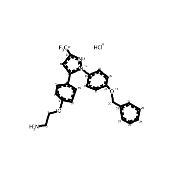 Cl.NCCOc1ccc(-c2cc(C(F)(F)F)nn2-c2ccc(OCc3ccccc3)cc2)cc1